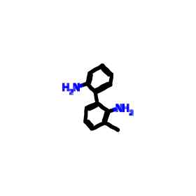 Cc1cccc(-c2ccccc2N)c1N